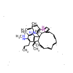 C=C/C=C\C(=C(/N)C1(c2c(C)c(CC=C)c(NC)c(C)c2CCC)C(C)\C=C/C=C\C=C\C=C\C=C/C1/C=C\C)[PH]1=CC=C1